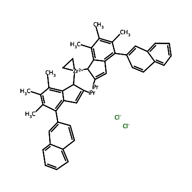 Cc1c(C)c(-c2ccc3ccccc3c2)c2c(c1C)[CH]([Zr+2]1([CH]3C(C(C)C)=Cc4c(-c5ccc6ccccc6c5)c(C)c(C)c(C)c43)[CH2][CH2]1)C(C(C)C)=C2.[Cl-].[Cl-]